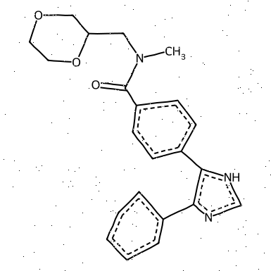 CN(CC1COCCO1)C(=O)c1ccc(-c2[nH]cnc2-c2ccccc2)cc1